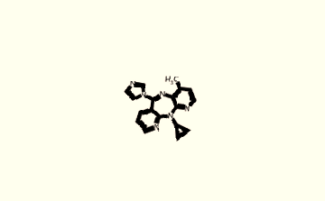 Cc1ccnc2c1N=C(n1ccnc1)c1cccnc1N2C1CC1